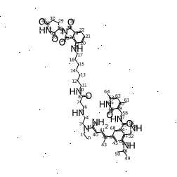 CCN(CCNCCC(=O)NCCCCCCCNc1cccc2c1C(=O)N(C1CCC(=O)NC1=O)C2=O)/C(N)=C/C=C(\C)c1cc(NC(C)C)c(C=N)c(C(=O)NCc2c(C)cc(C)[nH]c2=O)c1